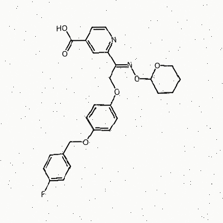 O=C(O)c1ccnc(/C(COc2ccc(OCc3ccc(F)cc3)cc2)=N/OC2CCCCO2)c1